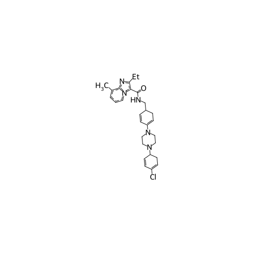 CCc1nc2c(C)cccn2c1C(=O)NCC1C=CC(N2CCN(C3C=CC(Cl)=CC3)CC2)=CC1